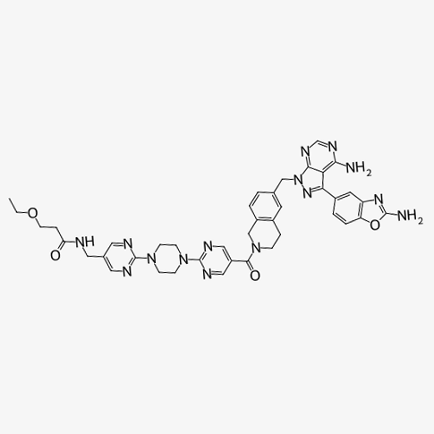 CCOCCC(=O)NCc1cnc(N2CCN(c3ncc(C(=O)N4CCc5cc(Cn6nc(-c7ccc8oc(N)nc8c7)c7c(N)ncnc76)ccc5C4)cn3)CC2)nc1